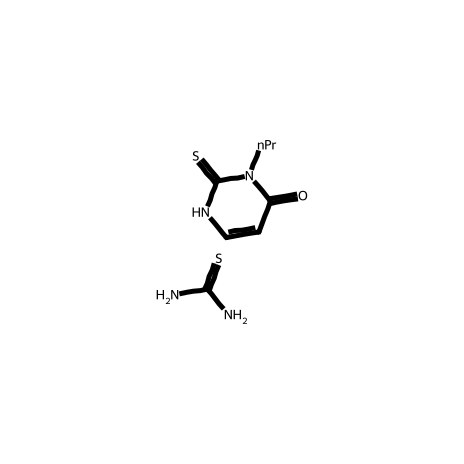 CCCn1c(=O)cc[nH]c1=S.NC(N)=S